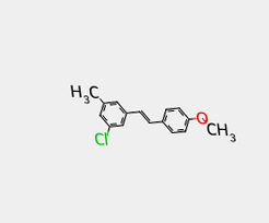 COc1ccc(C=Cc2cc(C)cc(Cl)c2)cc1